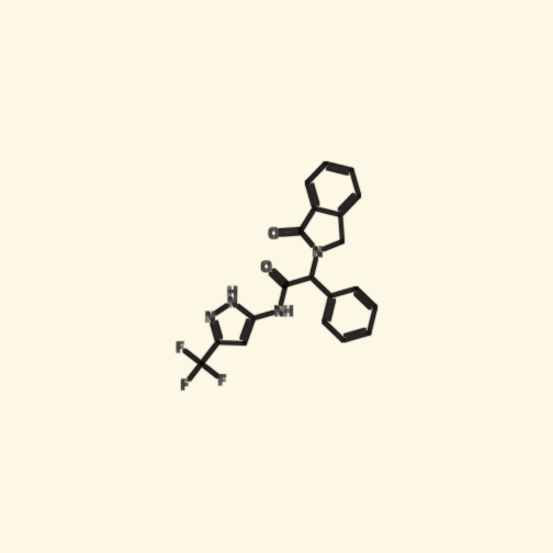 O=C(Nc1cc(C(F)(F)F)n[nH]1)C(c1ccccc1)N1Cc2ccccc2C1=O